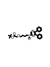 CC(C)(C)OC(=O)COCCCC[S+]([O-])c1cnc(-c2ccccc2)c(-c2ccccc2)n1